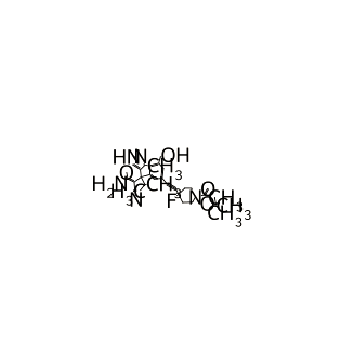 Cc1n[nH]c2c1C(c1cc(C#CC3(F)CCN(C(=O)OC(C)(C)C)CC3)cc(CO)c1)(C(C)C)C(C#N)=C(N)O2